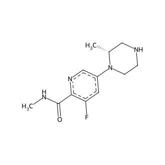 CNC(=O)c1ncc(N2CCNC[C@H]2C)cc1F